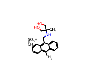 CS(=O)(=O)O.Cc1c2ccccc2c(CNC(C)(CO)CO)c2ccccc12